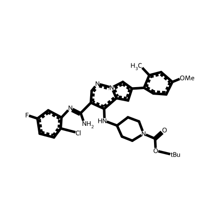 COc1ccc(-c2cc3c(NC4CCN(C(=O)OC(C)(C)C)CC4)c(/C(N)=N/c4cc(F)ccc4Cl)cnn3c2)c(C)c1